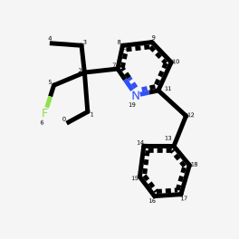 CCC(CC)(CF)c1cccc(Cc2ccccc2)n1